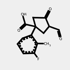 Cc1c(F)cccc1C1(C(=O)O)CC(=O)C(C=O)C1